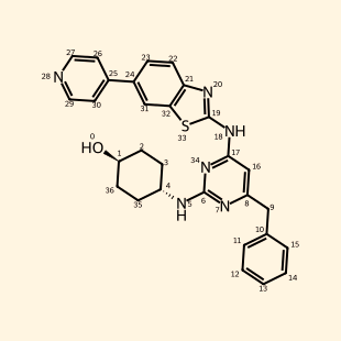 O[C@H]1CC[C@H](Nc2nc(Cc3ccccc3)cc(Nc3nc4ccc(-c5ccncc5)cc4s3)n2)CC1